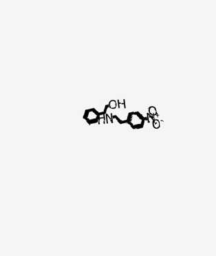 O=[N+]([O-])c1ccc(CCNC(CO)c2ccccc2)cc1